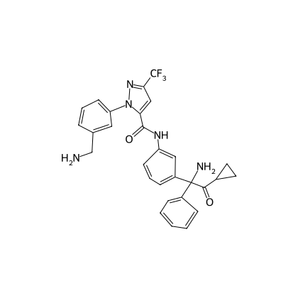 NCc1cccc(-n2nc(C(F)(F)F)cc2C(=O)Nc2cccc(C(N)(C(=O)C3CC3)c3ccccc3)c2)c1